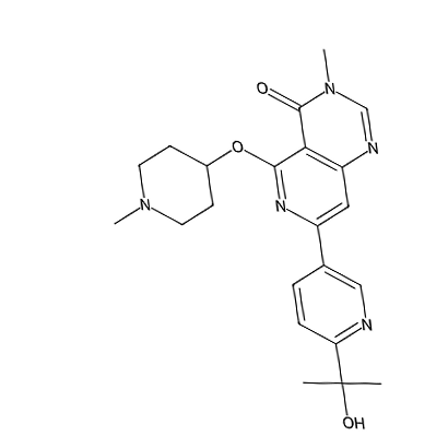 CN1CCC(Oc2nc(-c3ccc(C(C)(C)O)nc3)cc3ncn(C)c(=O)c23)CC1